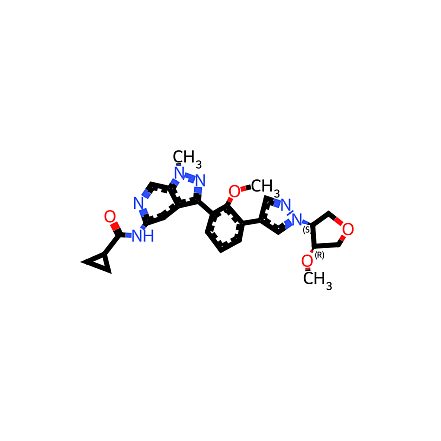 COc1c(-c2cnn([C@H]3COC[C@@H]3OC)c2)cccc1-c1nn(C)c2cnc(NC(=O)C3CC3)cc12